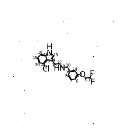 FC(F)COc1cccc(CNCCc2c[nH]c3cccc(Cl)c23)c1